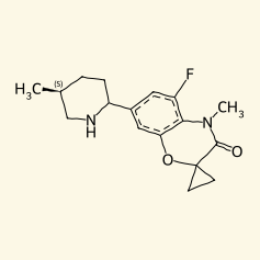 C[C@H]1CCC(c2cc(F)c3c(c2)OC2(CC2)C(=O)N3C)NC1